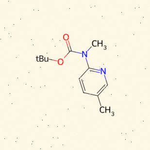 Cc1ccc(N(C)C(=O)OC(C)(C)C)nc1